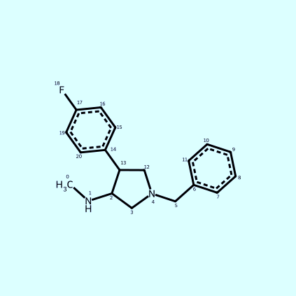 CNC1CN(Cc2ccccc2)CC1c1ccc(F)cc1